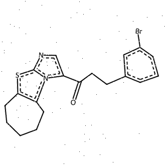 O=C(CCc1cccc(Br)c1)c1cnc2sc3c(n12)CCCCC3